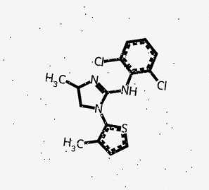 Cc1ccsc1N1CC(C)N=C1Nc1c(Cl)cccc1Cl